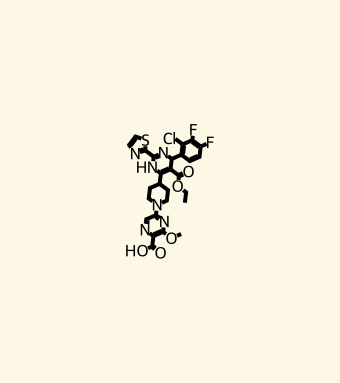 CCOC(=O)C1=C(C2CCN(c3cnc(C(=O)O)c(OC)n3)CC2)NC(c2nccs2)=NC1c1ccc(F)c(F)c1Cl